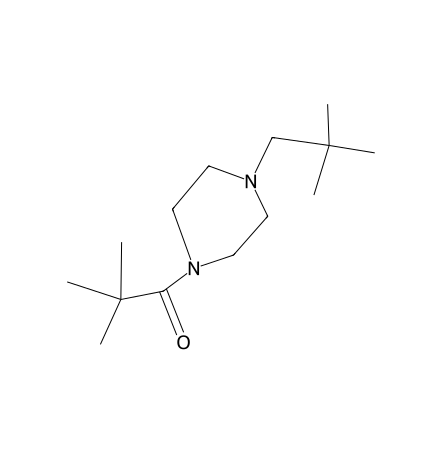 CC(C)(C)CN1CCN(C(=O)C(C)(C)C)CC1